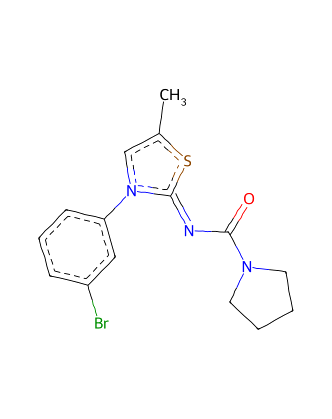 Cc1cn(-c2cccc(Br)c2)c(=NC(=O)N2CCCC2)s1